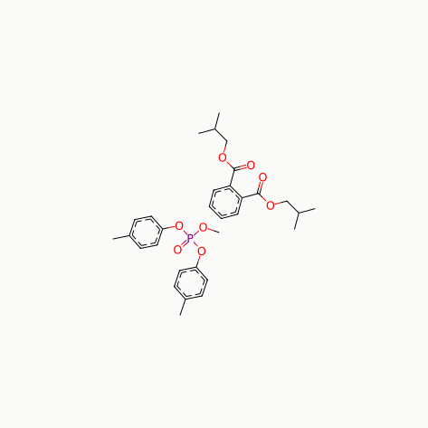 CC(C)COC(=O)c1ccccc1C(=O)OCC(C)C.COP(=O)(Oc1ccc(C)cc1)Oc1ccc(C)cc1